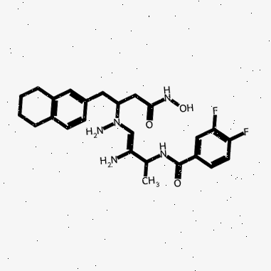 CC(NC(=O)c1ccc(F)c(F)c1)/C(N)=C/N(N)C(CC(=O)NO)Cc1ccc2c(c1)CCCC2